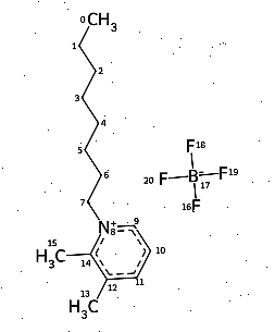 CCCCCCCC[n+]1cccc(C)c1C.F[B-](F)(F)F